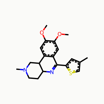 COc1cc2c(cc1OC)C1CN(C)CCC1N=C2c1cc(C)cs1